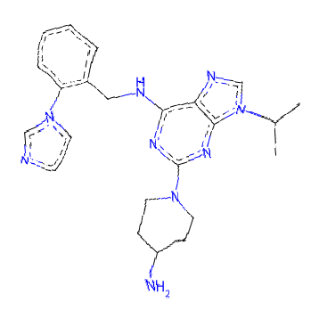 CC(C)n1cnc2c(NCc3ccccc3-n3ccnc3)nc(N3CCC(N)CC3)nc21